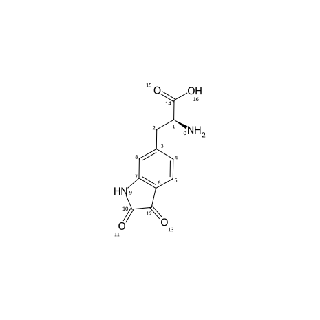 N[C@@H](Cc1ccc2c(c1)NC(=O)C2=O)C(=O)O